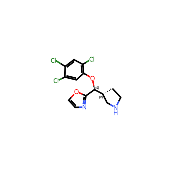 Clc1cc(Cl)c(O[C@H](c2ncco2)[C@@H]2CCNC2)cc1Cl